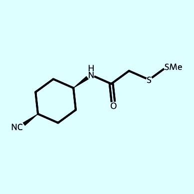 CSSCC(=O)N[C@H]1CC[C@@H](C#N)CC1